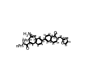 CCCN(CCC)C(=O)C1=Cc2ccc(-c3ccc4c(=O)n(Cc5ncco5)ccc4c3)cc2N=C(N)C1